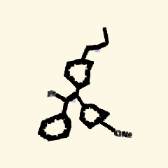 C/C=C/c1ccc(/C(=C(\CC)c2ccccc2)c2ccc(OC)cc2)cc1